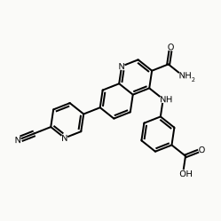 N#Cc1ccc(-c2ccc3c(Nc4cccc(C(=O)O)c4)c(C(N)=O)cnc3c2)cn1